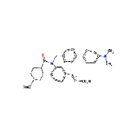 COC1CCC(C(=O)N(Cc2ccc(-c3ccc(N(C)C)cc3)cc2)c2cccc(/C=C/C(=O)O)c2)CC1